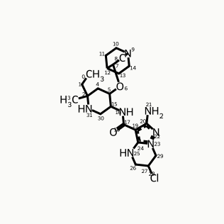 CCC1(C)CC(OC2CN3CCC2CC3)C(NC(=O)c2c(N)nn3c2NCC(Cl)C3)CN1